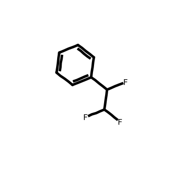 F[C](c1ccccc1)C(F)F